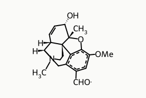 COc1cc([C]=O)c2c3c1O[C@@]1(C)[C@@H](O)C=C[C@H]4[C@@H](C2)N(C)CC[C@@]341